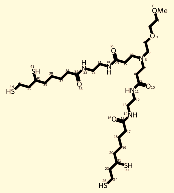 COCCOCCN(CCC(=O)NCCNC(=O)CCCCC(S)CCS)CCC(=O)NCCNC(=O)CCCCC(S)CCS